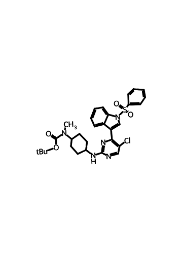 CN(C(=O)OC(C)(C)C)C1CCC(Nc2ncc(Cl)c(-c3cn(S(=O)(=O)c4ccccc4)c4ccccc34)n2)CC1